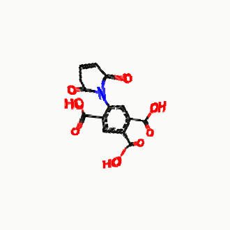 O=C(O)c1cc(C(=O)O)c(N2C(=O)C=CC2=O)cc1C(=O)O